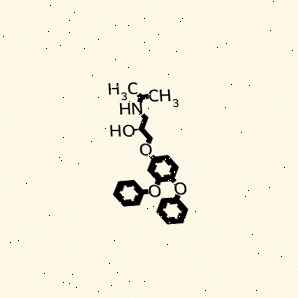 CC(C)NC[C@@H](O)COc1ccc(Oc2ccccc2)c(Oc2ccccc2)c1